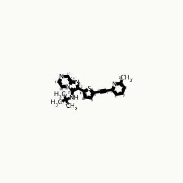 Cc1cccc(C#Cc2ccc(-c3nc4cnccn4c3NC(C)(C)C)s2)n1